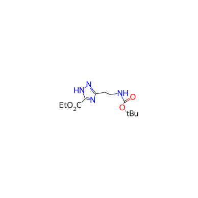 CCOC(=O)c1nc(CCNC(=O)OC(C)(C)C)n[nH]1